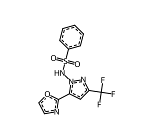 O=S(=O)(Nn1nc(C(F)(F)F)cc1-c1ncco1)c1ccccc1